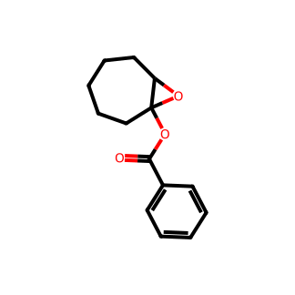 O=C(OC12CCCCCC1O2)c1ccccc1